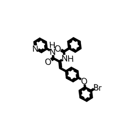 O=C(Nc1cccnc1)C(=Cc1ccc(Oc2ccccc2Br)cc1)NC(=O)c1ccccc1